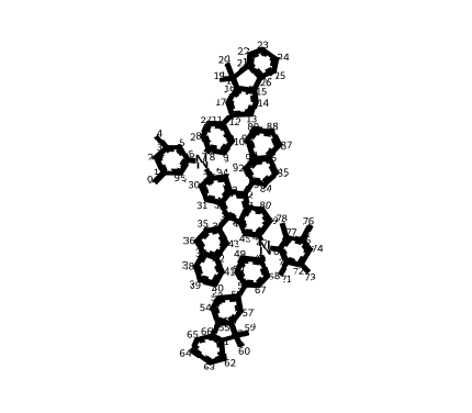 Cc1cc(C)cc(N(c2ccc(-c3ccc4c(c3)C(C)(C)c3ccccc3-4)cc2)c2ccc3c(-c4ccc5ccccc5c4)c4cc(N(c5ccc(-c6ccc7c(c6)C(C)(C)c6ccccc6-7)cc5)c5c(C)c(C)cc(C)c5C)ccc4c(-c4ccc5ccccc5c4)c3c2)c1